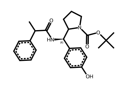 CC(C(=O)N[C@H](c1ccc(O)cc1)C1CCCN1C(=O)OC(C)(C)C)c1ccccc1